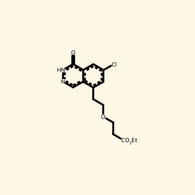 CCOC(=O)CCOCCc1cc(Cl)cc2c(=O)[nH]ncc12